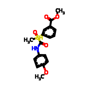 COC(=O)c1cccc([SH](C)(=O)C(=O)Nc2ccc(OC)cc2)c1